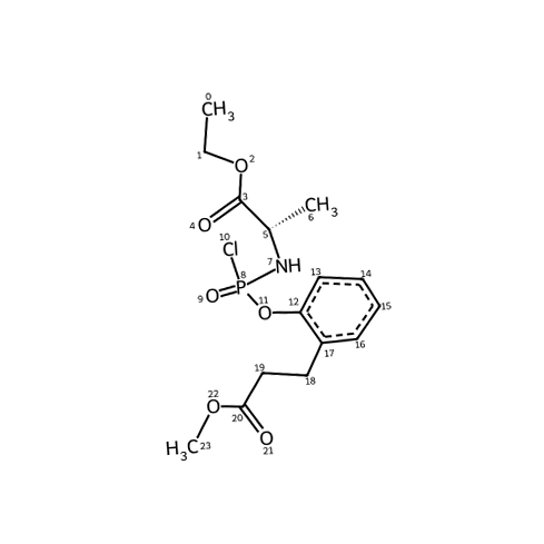 CCOC(=O)[C@H](C)NP(=O)(Cl)Oc1ccccc1CCC(=O)OC